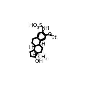 CCOc1cc2c(cc1NS(=O)(=O)O)CC[C@@H]1[C@@H]2CC[C@]2(C)[C@H](O)CC[C@@H]12